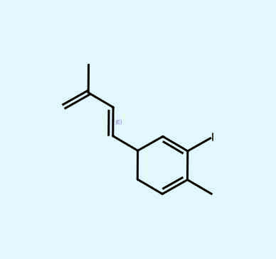 C=C(C)/C=C/C1C=C(I)C(C)=CC1